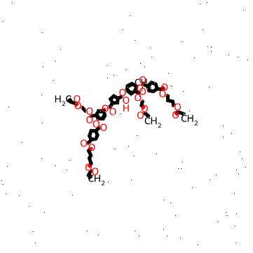 C=CC(=O)OCCCCOC(=O)C1CCC(C(=O)Oc2ccc(OC(=O)C3CCC(C(O)OC4=CC(C(=O)OCCOC(=O)C=C)C(C)(OC(=O)C5CCC(C(=O)OCCCCOC(=O)C=C)CC5)C=C4)C3)cc2C(=O)OCCOC(=O)C=C)CC1